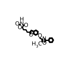 Cc1oc(-c2ccccc2)nc1COc1ccc2cc(CCCC3OC(=O)NC3=O)oc2c1